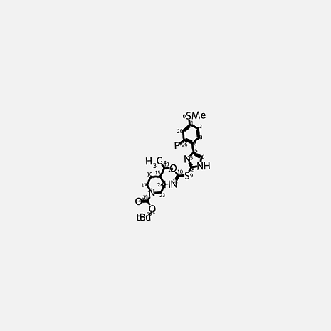 CSc1ccc(-c2c[nH]c(SC(=N)OC(C)C3CCN(C(=O)OC(C)(C)C)CC3)n2)c(F)c1